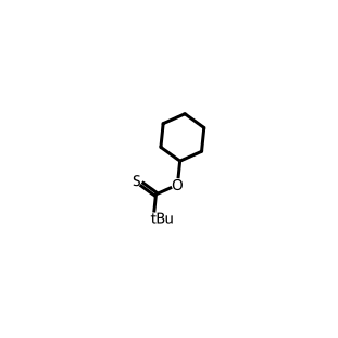 CC(C)(C)C(=S)OC1CCCCC1